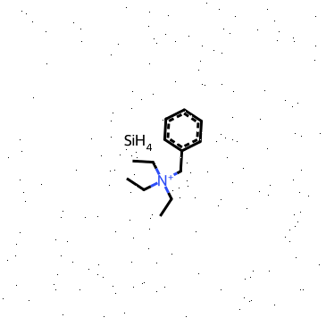 CC[N+](CC)(CC)Cc1ccccc1.[SiH4]